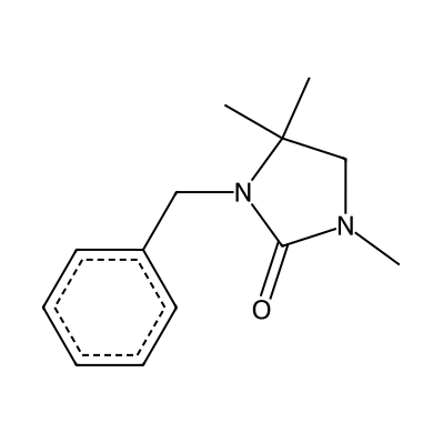 CN1CC(C)(C)N(Cc2ccccc2)C1=O